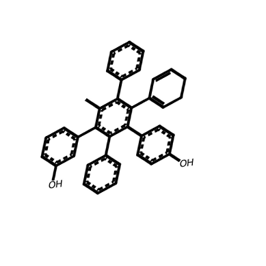 Cc1c(-c2ccccc2)c(C2=CCCC=C2)c(-c2ccc(O)cc2)c(-c2ccccc2)c1-c1cccc(O)c1